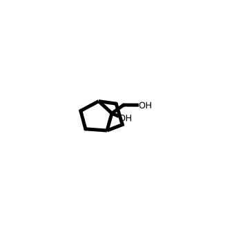 OCC1(O)C2CCC1CC2